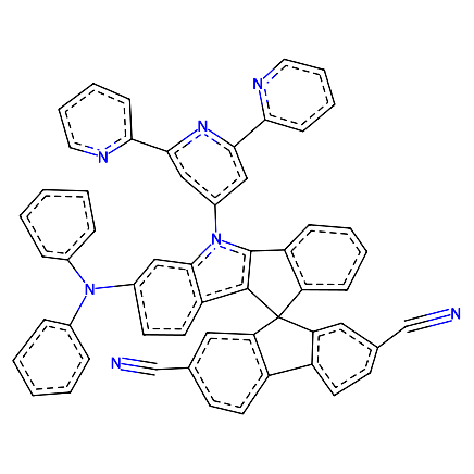 N#Cc1ccc2c(c1)C1(c3cc(C#N)ccc3-2)c2ccccc2-c2c1c1ccc(N(c3ccccc3)c3ccccc3)cc1n2-c1cc(-c2ccccn2)nc(-c2ccccn2)c1